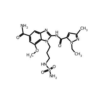 CCn1nc(C)cc1C(=O)Nc1nc2cc(C(N)=O)cc(OC)c2n1CCCNS(N)(=O)=O